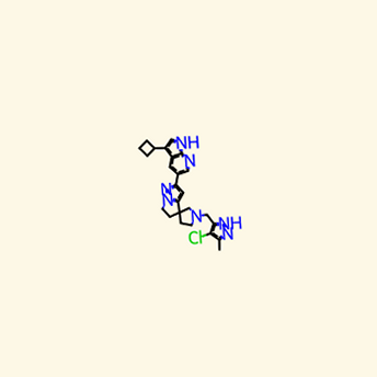 Cc1n[nH]c(CN2CCC3(CCn4nc(-c5cnc6[nH]cc(C7CCC7)c6c5)cc43)C2)c1Cl